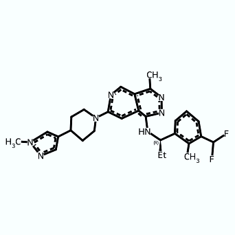 CC[C@@H](Nc1nnc(C)c2cnc(N3CCC(c4cnn(C)c4)CC3)cc12)c1cccc(C(F)F)c1C